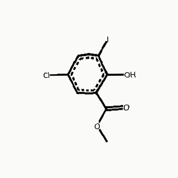 COC(=O)c1cc(Cl)cc(I)c1O